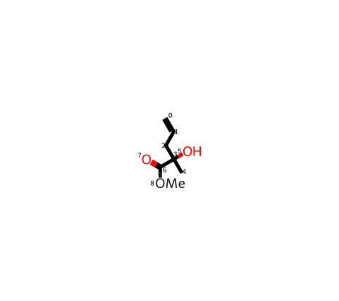 C=CCC(C)(O)C(=O)OC